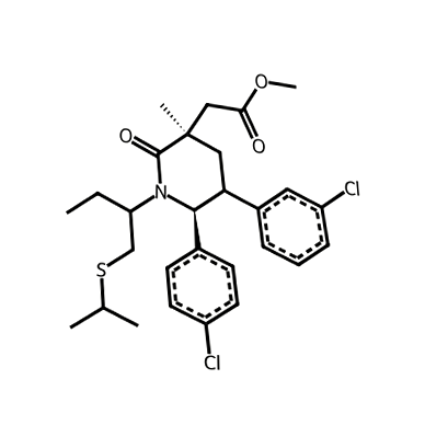 CCC(CSC(C)C)N1C(=O)[C@@](C)(CC(=O)OC)CC(c2cccc(Cl)c2)[C@H]1c1ccc(Cl)cc1